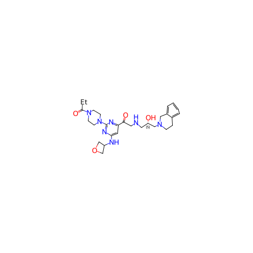 CCC(=O)N1CCN(c2nc(NC3COC3)cc(C(=O)CNC[C@H](O)CN3CCc4ccccc4C3)n2)CC1